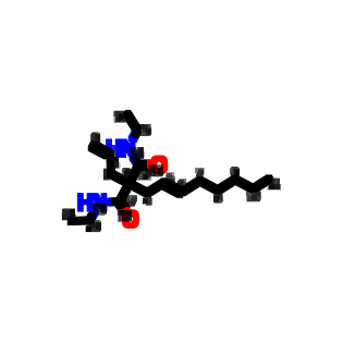 C=CCC(C/C=C/CCCCC)(C(=O)NCC)C(=O)NCC